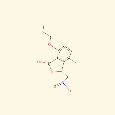 CCCOc1ccc(F)c2c1B(O)OC2C[N+](=O)[O-]